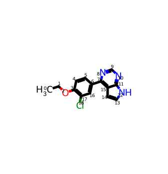 CCOc1ccc(-c2ncnc3[nH]ccc23)cc1Cl